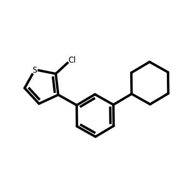 Clc1sccc1-c1cccc(C2CCCCC2)c1